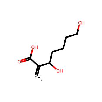 C=C(C(=O)O)C(O)CCCCO